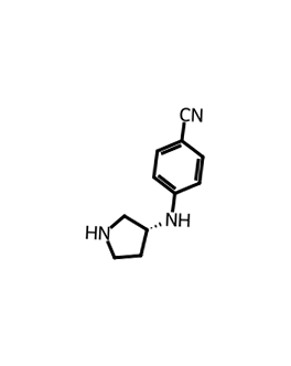 N#Cc1ccc(N[C@@H]2CCNC2)cc1